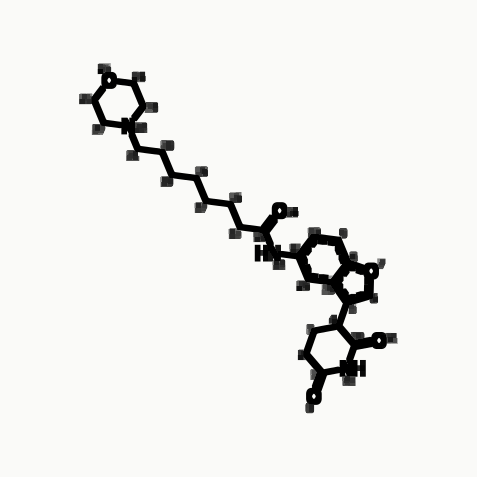 O=C1CCC(c2coc3ccc(NC(=O)CCCCCCCN4CCOCC4)cc23)C(=O)N1